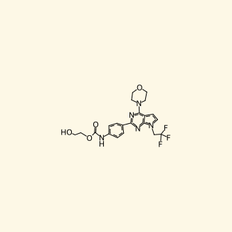 O=C(Nc1ccc(-c2nc(N3CCOCC3)c3ccn(CC(F)(F)F)c3n2)cc1)OCCO